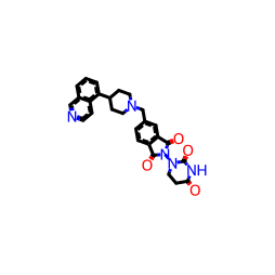 O=C1CCN(N2C(=O)c3ccc(CN4CCC(c5cccc6cnccc56)CC4)cc3C2=O)C(=O)N1